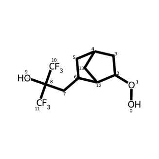 OOC1CC2CC(CC(O)(C(F)(F)F)C(F)(F)F)C1C2